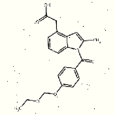 CCOCOc1ccc(C(=O)n2c(C)cc3c(CC(=O)O)cccc32)cc1